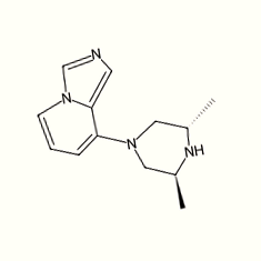 C[C@H]1CN(c2cccn3cncc23)C[C@H](C)N1